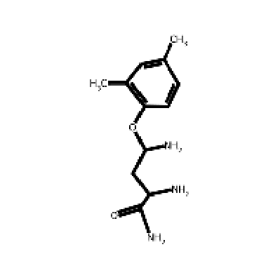 Cc1ccc(OC(N)CC(N)C(N)=O)c(C)c1